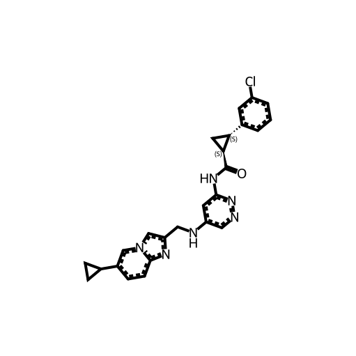 O=C(Nc1cc(NCc2cn3cc(C4CC4)ccc3n2)cnn1)[C@H]1C[C@@H]1c1cccc(Cl)c1